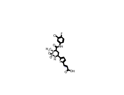 CN1C(C(=O)Nc2ccc(F)c(Cl)c2)CC(c2ccc(/C=C/C(=O)O)s2)NS1(=O)=O